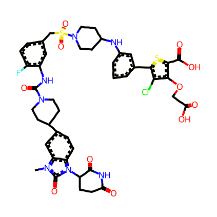 Cn1c(=O)n(C2CCC(=O)NC2=O)c2ccc(C3CCN(C(=O)Nc4cc(CS(=O)(=O)N5CCC(Nc6cccc(-c7sc(C(=O)O)c(OCC(=O)O)c7Cl)c6)CC5)ccc4F)CC3)cc21